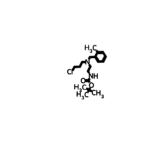 Cc1ccccc1CN(CCCCl)CCNC(=O)OC(C)(C)C